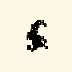 [CH2]CN1CCC(c2cc(F)c3[nH]c(-c4ccc(OC)c(OC)c4)c(CC)c3c2)CC1